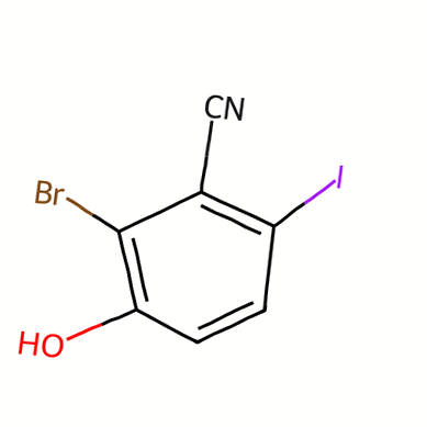 N#Cc1c(I)ccc(O)c1Br